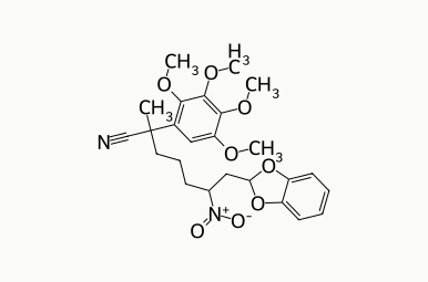 COc1cc(C(C)(C#N)CCCC(CC2Oc3ccccc3O2)[N+](=O)[O-])c(OC)c(OC)c1OC